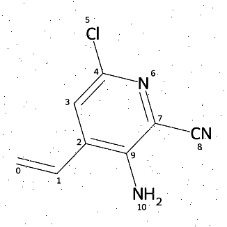 C=Cc1cc(Cl)nc(C#N)c1N